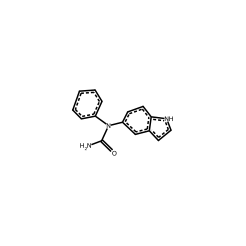 NC(=O)N(c1ccccc1)c1ccc2[nH]ccc2c1